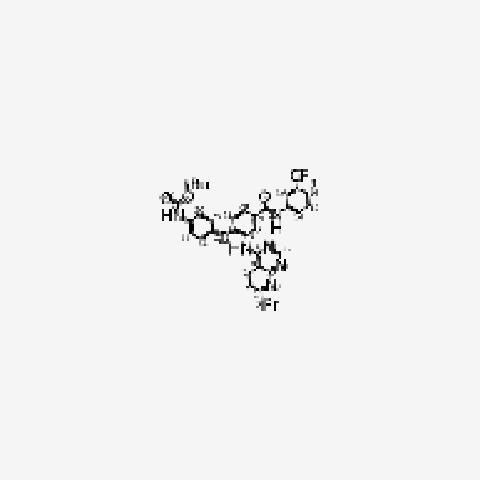 CC(C)c1ccc2c(Nc3cc(C(=O)Nc4cccc(C(F)(F)F)c4)ccc3Oc3ccc(NC(=O)OC(C)(C)C)cc3)ncnc2n1